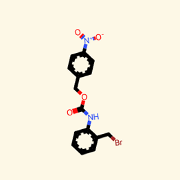 O=C(Nc1ccccc1CBr)OCc1ccc([N+](=O)[O-])cc1